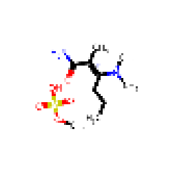 CCC/C(=C(/C)C(N)=O)N(C)C.COS(=O)(=O)O